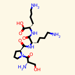 NCCCC[C@H](NC(=O)[C@H](CCCCN)NC(=O)[C@@H]1CCCN1C(=O)[C@@H](N)CO)C(=O)O